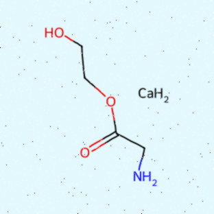 NCC(=O)OCCO.[CaH2]